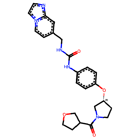 O=C(NCc1ccn2ccnc2c1)Nc1ccc(O[C@@H]2CCN(C(=O)C3CCOC3)C2)cc1